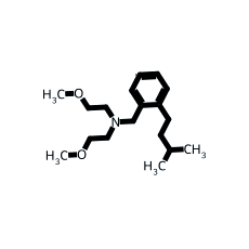 COCCN(CCOC)Cc1c[c]ccc1CCC(C)C